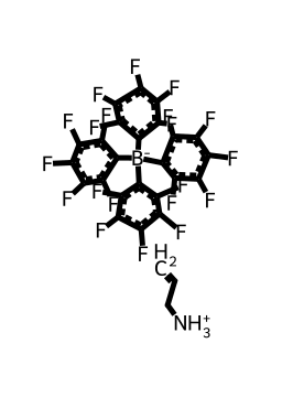 C=CC[NH3+].Fc1c(F)c(F)c([B-](c2c(F)c(F)c(F)c(F)c2F)(c2c(F)c(F)c(F)c(F)c2F)c2c(F)c(F)c(F)c(F)c2F)c(F)c1F